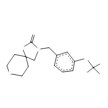 O=C1OC2(CCNCC2)CN1Cc1cccc(OC(F)(F)F)c1